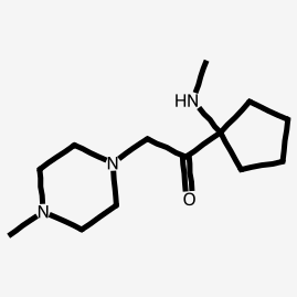 CNC1(C(=O)CN2CCN(C)CC2)CCCC1